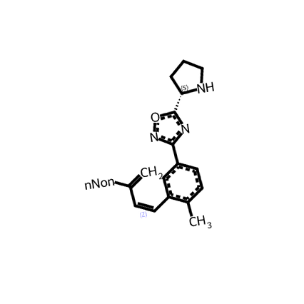 C=C(/C=C\c1cc(-c2noc([C@@H]3CCCN3)n2)ccc1C)CCCCCCCCC